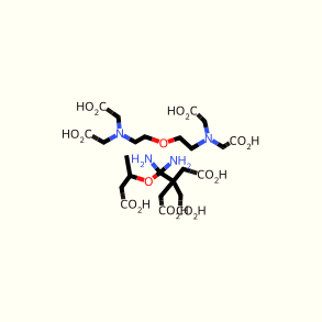 CC(CC(=O)O)OC(N)(N)C(CC(=O)O)(CC(=O)O)CC(=O)O.O=C(O)CN(CCOCCN(CC(=O)O)CC(=O)O)CC(=O)O